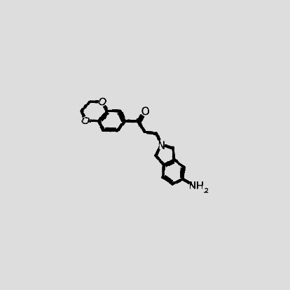 Nc1ccc2c(c1)CN(CCC(=O)c1ccc3c(c1)OCCO3)C2